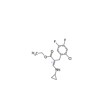 CCOC(=O)/C(=C/NC1CC1)Cc1cc(F)c(F)cc1Cl